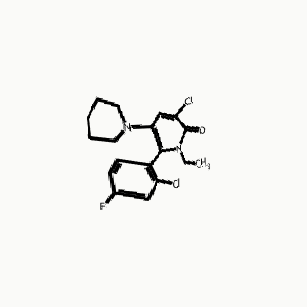 CCn1c(-c2ccc(F)cc2Cl)c(N2CCCCC2)cc(Cl)c1=O